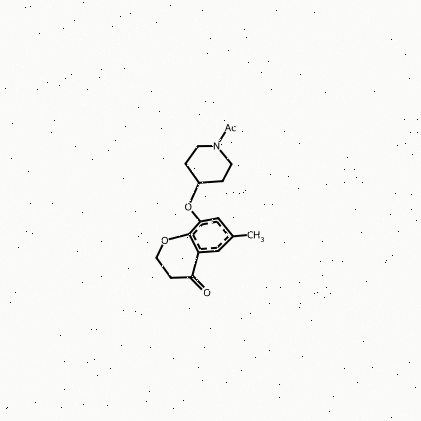 CC(=O)N1CCC(Oc2cc(C)cc3c2OCCC3=O)CC1